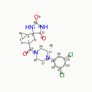 CC(CC1(C2CC2)NC(=O)NC1=O)C(=O)N1CCN(c2cc(Cl)cc(Cl)c2)[C@@H](C)C1